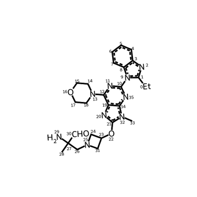 CCc1nc2ccccc2n1-c1nc(N2CCOCC2)c2nc(OC3CN(CC(C)(N)C=O)C3)n(C)c2n1